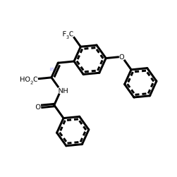 O=C(O)/C(=C/c1ccc(Oc2ccccc2)cc1C(F)(F)F)NC(=O)c1ccccc1